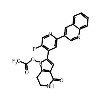 O=C1NCCc2c1cc(-c1cc(-c3cnc4ccccc4c3)ncc1F)n2OC(=O)C(F)(F)F